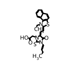 CCC=CN1C(=O)C(=CC=C2Sc3ccc4ccccc4c3N2CC)N(CC(=O)O)C1=S